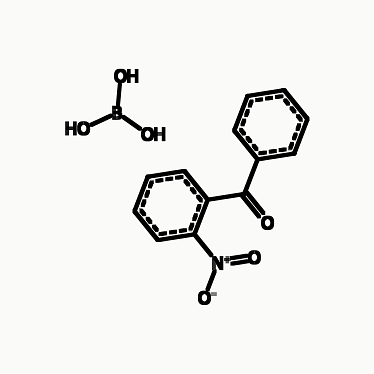 O=C(c1ccccc1)c1ccccc1[N+](=O)[O-].OB(O)O